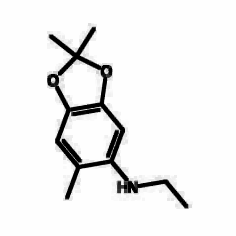 CCNc1cc2c(cc1C)OC(C)(C)O2